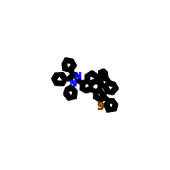 c1ccc(-c2nc(-c3ccc4c5c(cccc35)C3(c5ccccc5-c5ccccc53)c3cc5c(cc3-4)sc3ccccc35)n(-c3ccccc3)c2-c2ccccc2)cc1